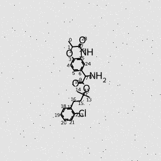 CC1Oc2ccc(C(N)C(=O)OC(C)(C)CCc3ccccc3Cl)cc2NC1=O